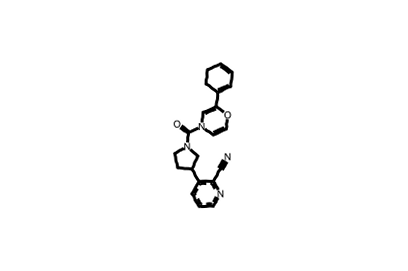 N#Cc1ncccc1C1CCN(C(=O)N2C=COC(C3=CC=CCC3)=C2)C1